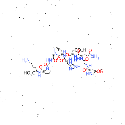 CC(C)C[C@H](NC(=O)[C@H](Cc1c[nH]cn1)NC(=O)[C@H](CC(=O)O)NC(=O)[C@H](CCC(N)=O)NC(=O)CNC(=O)[C@@H]1C[C@@H](O)CN1)C(=O)N[C@@H](C)C(=O)NCC(=O)N1CCC[C@H]1C(=O)N[C@@H](CCCCN)C(=O)O